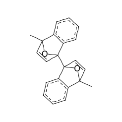 CC12C=CC(C34C=CC(C)(O3)c3ccccc34)(O1)c1ccccc12